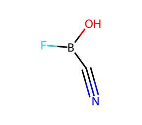 N#CB(O)F